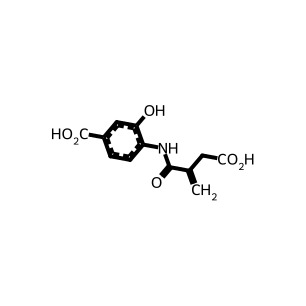 C=C(CC(=O)O)C(=O)Nc1ccc(C(=O)O)cc1O